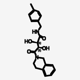 Cc1ccc(CNC(=O)[C@H](O)[C@@H](O)C(=O)N2CCc3ccccc3C2)cc1